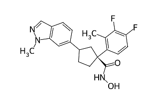 Cc1c([C@]2(C(=O)NO)CCC(c3ccc4cnn(C)c4c3)C2)ccc(F)c1F